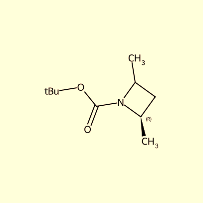 CC1C[C@@H](C)N1C(=O)OC(C)(C)C